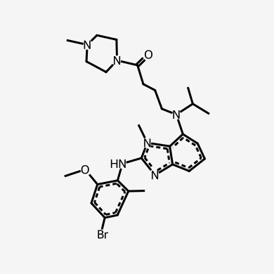 COc1cc(Br)cc(C)c1Nc1nc2cccc(N(CCCC(=O)N3CCN(C)CC3)C(C)C)c2n1C